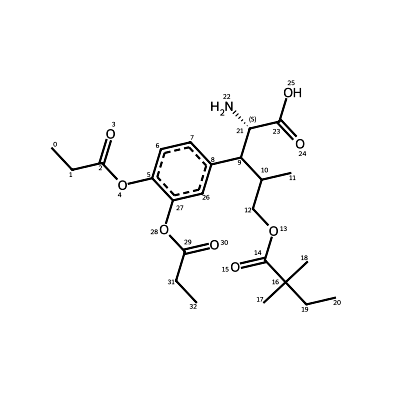 CCC(=O)Oc1ccc(C(C(C)COC(=O)C(C)(C)CC)[C@H](N)C(=O)O)cc1OC(=O)CC